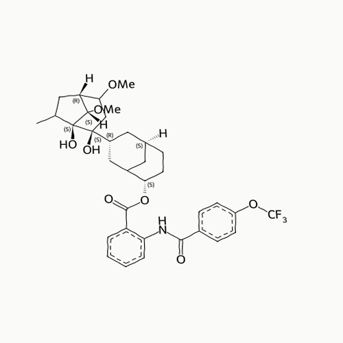 COC1C[C@](O)([C@H]2CC3C[C@H](CC[C@@H]3OC(=O)c3ccccc3NC(=O)c3ccc(OC(F)(F)F)cc3)C2)[C@]2(O)C(C)C[C@H]1[C@@H]2OC